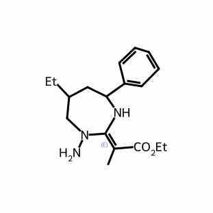 CCOC(=O)/C(C)=C1\NC(c2ccccc2)CC(CC)CN1N